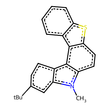 Cn1c2cc(C(C)(C)C)ccc2c2c3c(ccc21)sc1ccccc13